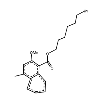 COc1cc(C)c2ccccc2c1C(=O)OCCCCCCC(C)C